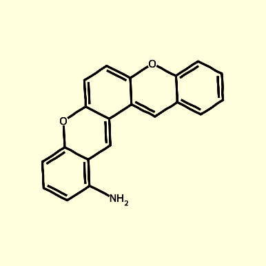 Nc1cccc2c1C=c1c(ccc3c1=Cc1ccccc1O3)O2